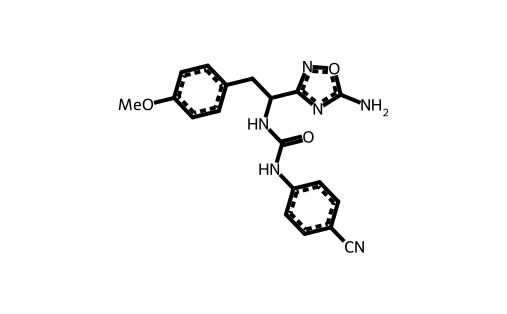 COc1ccc(CC(NC(=O)Nc2ccc(C#N)cc2)c2noc(N)n2)cc1